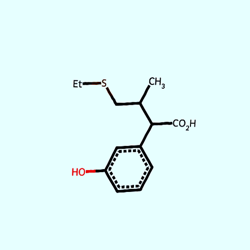 CCSCC(C)C(C(=O)O)c1cccc(O)c1